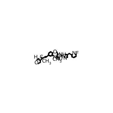 CN1C(=O)[C@@H](NC(=O)n2cc(Cc3cccc(F)n3)cn2)COc2ccc(C#CC(C)(C)C3CCOCC3)cc21